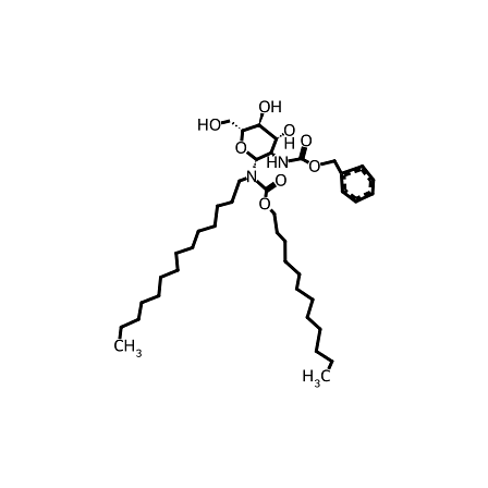 CCCCCCCCCCCCCCN(C(=O)OCCCCCCCCCCCC)[C@@H]1O[C@H](CO)[C@@H](O)[C@H](O)[C@H]1NC(=O)OCc1ccccc1